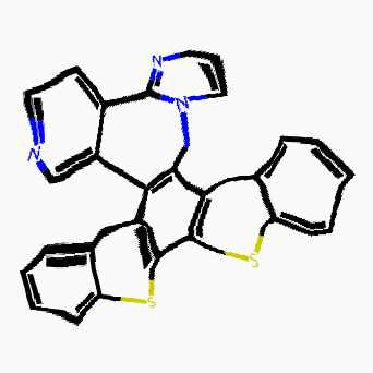 c1ccc2c(c1)sc1c3sc4ccccc4c3c3c(c4cnccc4c4nccn43)c21